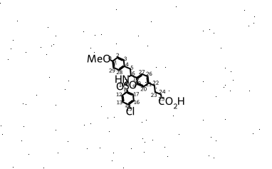 COc1ccc(CC(NS(=O)(=O)c2ccc(Cl)cc2)c2ccc(CCCC(=O)O)cc2)cc1